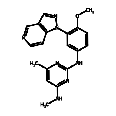 CNc1cc(C)nc(Nc2ccc(OC)c(-n3ncc4cnccc43)c2)n1